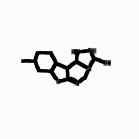 CC1CCC2C(C1)SC1=NCN3C(S)NNC3C12